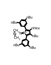 CCCCCCC1=C(c2cc(CCCC)cc(CCCC)c2)[N+](=[N-])C(c2cc(CCCC)cc(CCCC)c2)=C1CCCC.[CH3][Ni][CH3]